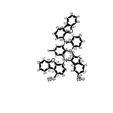 Cc1cc2c3c(c1)N(c1ccc(C(C)(C)C)c4c1oc1ccccc14)c1c(sc4ccc(C(C)(C)C)cc14)B3c1ccccc1N2c1cccc2c1oc1ccccc12